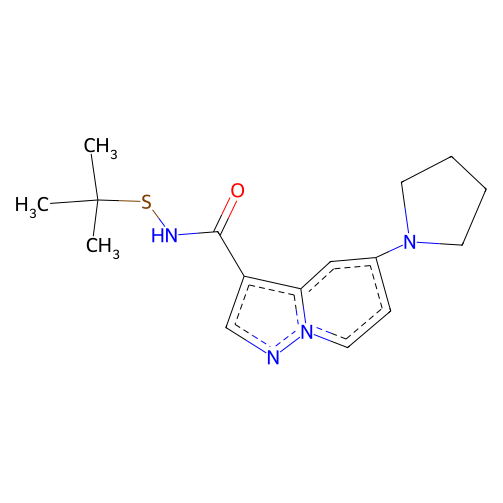 CC(C)(C)SNC(=O)c1cnn2ccc(N3CCCC3)cc12